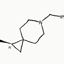 CC(C)CN1CCC2(CC1)C[C@H]2C